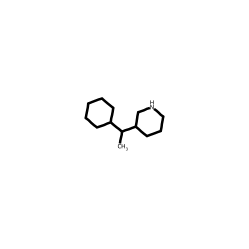 C[C](C1CCCCC1)C1CCCNC1